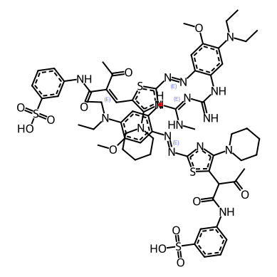 CCN(CC)c1cc(NC(=N)/N=C(\NC)Nc2cc(N(CC)CC)c(OC)cc2/N=N/c2nc(N3CCCCC3)c(C(C(C)=O)C(=O)Nc3cccc(S(=O)(=O)O)c3)s2)c(/N=N/c2nc(N3CCCCC3)c(/C=C(\C(C)=O)C(=O)Nc3cccc(S(=O)(=O)O)c3)s2)cc1OC